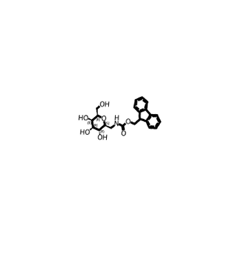 O=C(NC[C@@H]1O[C@H](CO)[C@H](O)[C@H](O)[C@H]1O)OCC1c2ccccc2-c2ccccc21